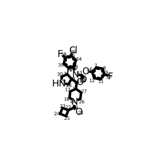 CCN(C(=O)Oc1ccc(F)cc1)[C@]1(C(=O)C2CCN(C(=O)C3CCC3)CC2)CNC[C@H]1c1ccc(Cl)c(F)c1